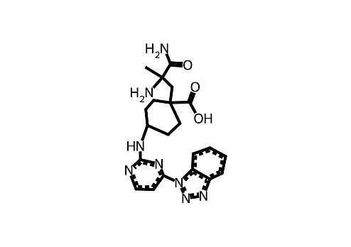 CC(N)(CC1(C(=O)O)CCC(Nc2nccc(-n3nnc4ccccc43)n2)CC1)C(N)=O